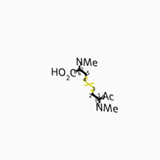 CN[C@@H](CSSC[C@H](NC)C(=O)O)C(C)=O